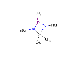 CCCCN1P(C)N(CCCC)[Si]1(C)C